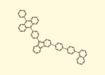 c1ccc(-c2c3ccccc3c(-c3ccc(-n4c5ccccc5c5cc(-c6ccc(-c7ccc(-c8cccc9ccccc89)cc7)cc6)ccc54)cc3)c3ccccc23)cc1